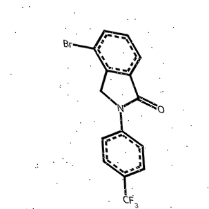 O=C1c2cccc(Br)c2CN1c1ccc(C(F)(F)F)cc1